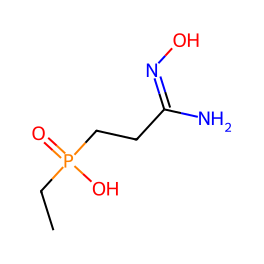 CCP(=O)(O)CCC(N)=NO